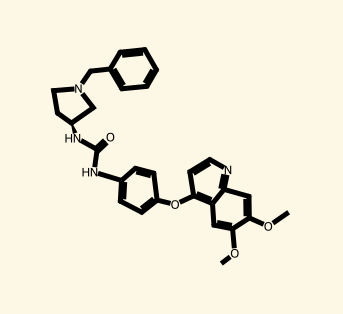 COc1cc2nccc(Oc3ccc(NC(=O)N[C@H]4CCN(Cc5ccccc5)C4)cc3)c2cc1OC